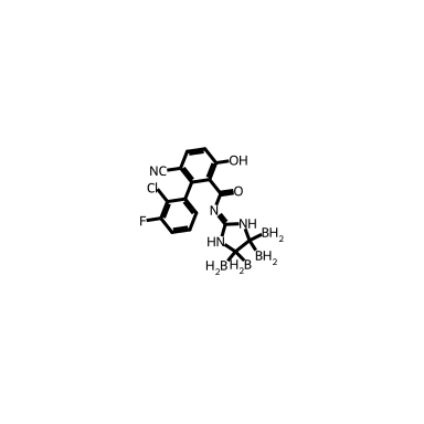 BC1(B)NC(=NC(=O)c2c(O)ccc(C#N)c2-c2cccc(F)c2Cl)NC1(B)B